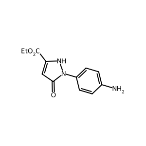 CCOC(=O)c1cc(=O)n(-c2ccc(N)cc2)[nH]1